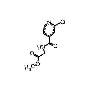 COC(=O)CNC(=O)c1ccnc(Cl)c1